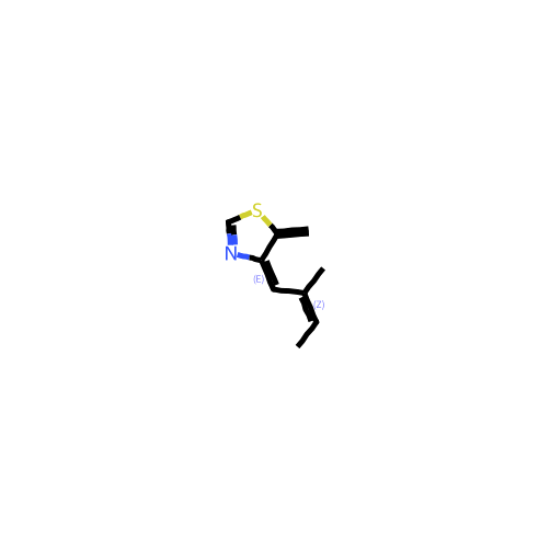 C=c1scn/c1=C/C(C)=C\C